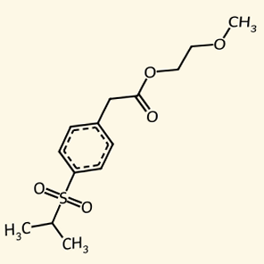 COCCOC(=O)Cc1ccc(S(=O)(=O)C(C)C)cc1